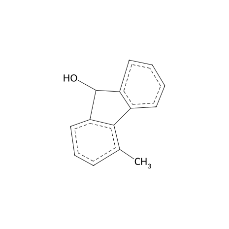 Cc1cccc2c1-c1ccccc1C2O